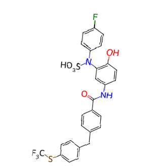 O=C(Nc1ccc(O)c(N(c2ccc(F)cc2)S(=O)(=O)O)c1)c1ccc(Cc2ccc(SC(F)(F)F)cc2)cc1